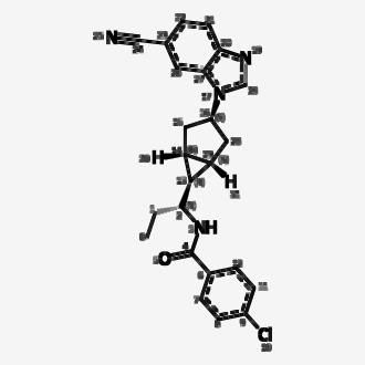 CC[C@@H](NC(=O)c1ccc(Cl)cc1)[C@H]1[C@@H]2C[C@@H](n3cnc4ccc(C#N)cc43)C[C@@H]21